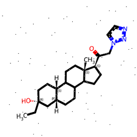 CC[C@@]1(O)CC[C@@H]2C3CC[C@@]4(C)C(CC[C@@H]4C(=O)Cn4ccnn4)C3CC[C@@H]2C1